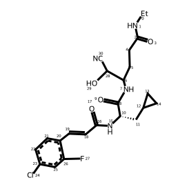 CCNC(=O)CCC(NC(=O)[C@H](CC1CC1)NC(=O)/C=C/c1ccc(Cl)cc1F)C(O)C#N